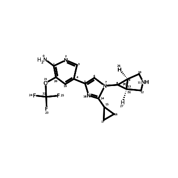 Nc1ncc(-c2cn(C3[C@H]4CNC[C@@H]34)c(C3CC3)n2)cc1OC(F)(F)F